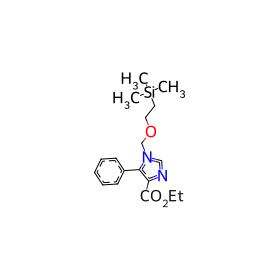 CCOC(=O)c1ncn(COCC[Si](C)(C)C)c1-c1ccccc1